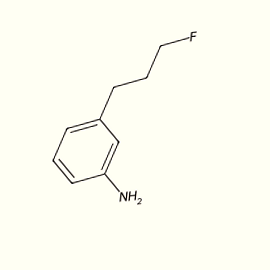 Nc1cccc(CCCF)c1